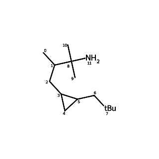 CC(CC1CC1CC(C)(C)C)C(C)(C)N